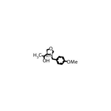 COc1ccc(CN2COC[C@@H]2[C@H](C)O)cc1